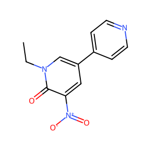 CCn1cc(-c2ccncc2)cc([N+](=O)[O-])c1=O